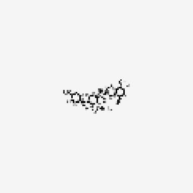 Cc1ccc(F)c2c1CCN(S(=O)(=O)c1ccc(Oc3ccc(Cl)cc3)cc1)C2.NC(=O)O